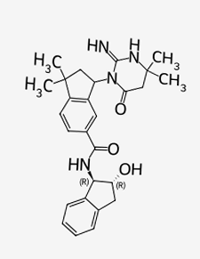 CC1(C)CC(=O)N(C2CC(C)(C)c3ccc(C(=O)N[C@@H]4c5ccccc5C[C@H]4O)cc32)C(=N)N1